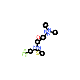 FC(F)(F)c1ccc(-c2nc(-c3ccc4oc5cc(-c6nc(-c7ccccc7)nc(-c7ccccc7)n6)ccc5c4c3)nc3c2sc2ccccc23)cc1